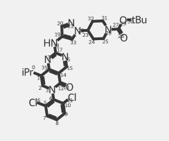 CC(C)c1cn(-c2c(Cl)cccc2Cl)c(=O)c2cnc(Nc3cnn(C4CCN(C(=O)OC(C)(C)C)CC4)c3)nc12